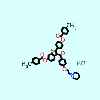 Cc1ccc(C(=O)Oc2ccc(-c3sc4cc(OC(=O)c5ccc(C)cc5)ccc4c3C(=O)c3ccc(OCCN4CCCCC4)cc3)cc2)cc1.Cl